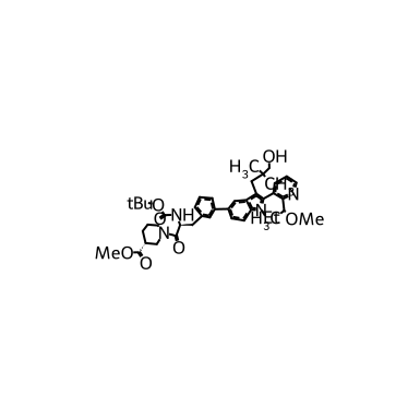 CCn1c(-c2cccnc2[C@H](C)OC)c(CC(C)(C)CO)c2cc(-c3cccc(C[C@H](NC(=O)OC(C)(C)C)C(=O)N4CCC[C@@H](C(=O)OC)C4)c3)ccc21